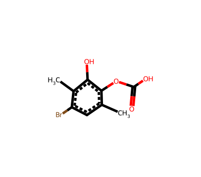 Cc1cc(Br)c(C)c(O)c1OC(=O)O